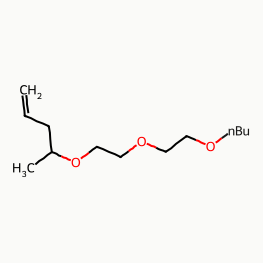 C=CCC(C)OCCOCCOCCCC